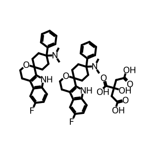 CN(C)C1(c2ccccc2)CCC2(CC1)OCCc1c2[nH]c2ccc(F)cc12.CN(C)C1(c2ccccc2)CCC2(CC1)OCCc1c2[nH]c2ccc(F)cc12.O=C(O)CC(O)(CC(=O)O)C(=O)O